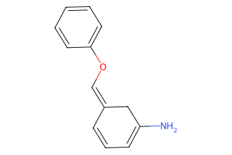 NC1=CC=CC(=COc2ccccc2)C1